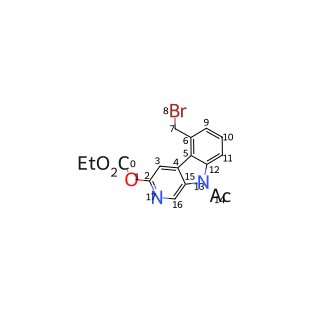 CCOC(=O)Oc1cc2c3c(CBr)cccc3n(C(C)=O)c2cn1